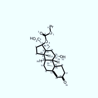 CC(C)OC(=O)O[C@]1(C(=O)O)CC[C@H]2[C@@H]3CCC4=CC(=O)CC[C@]4(C)[C@H]3[C@@H](O)C[C@@]21C